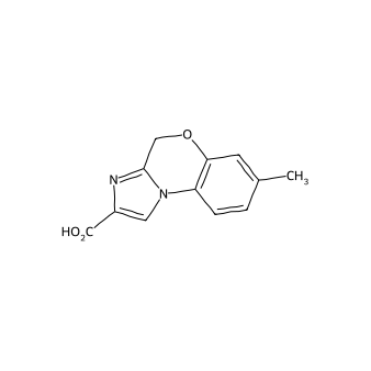 Cc1ccc2c(c1)OCc1nc(C(=O)O)cn1-2